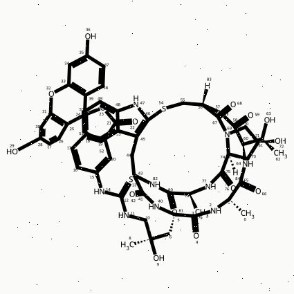 C[C@@H]1NC(=O)[C@H](C[C@@](C)(O)CNC(=S)Nc2ccc3c(c2)C(=O)OC32c3ccc(O)cc3Oc3cc(O)ccc32)NC(=O)C2Cc3c([nH]c4ccccc34)SC[C@H](NC(=O)[C@@H]([C@H](C)O)NC1=O)C(=O)N1C[C@@H](O)C[C@H]1C(=O)N[C@@H](C)C(=O)N2